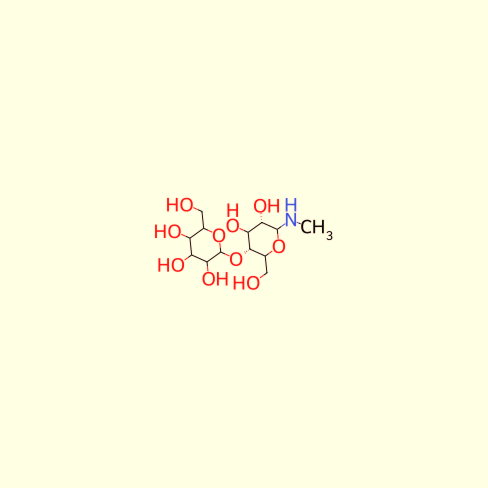 CNC1OC(CO)[C@H](OC2OC(CO)C(O)C(O)C2O)C(O)[C@@H]1O